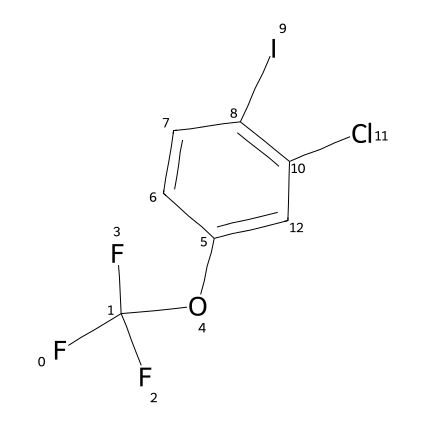 FC(F)(F)Oc1ccc(I)c(Cl)c1